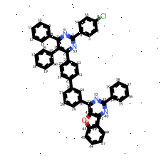 Clc1ccc(-c2nc(-c3ccccc3)c(-c3ccccc3)c(-c3ccc(-c4cccc(-c5nc(-c6ccccc6)nc6c5oc5ccccc56)c4)cc3)n2)cc1